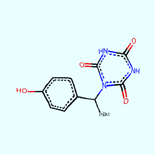 CCCCC(c1ccc(O)cc1)n1c(=O)[nH]c(=O)[nH]c1=O